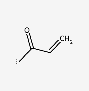 [C]C(=O)C=C